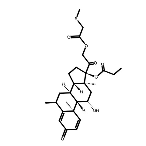 CCC(=O)O[C@]1(C(=O)COC(=O)CSC)CC[C@H]2[C@@H]3C[C@H](C)C4=CC(=O)C=C[C@]4(C)[C@H]3[C@@H](O)C[C@@]21C